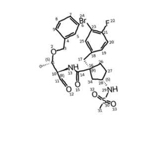 C[C@H](OCc1ccccc1)[C@H](C=O)NC(=O)[C@@]1(Cc2ccc(F)c(Br)c2)CC[C@H](NS(C)(=O)=O)C1